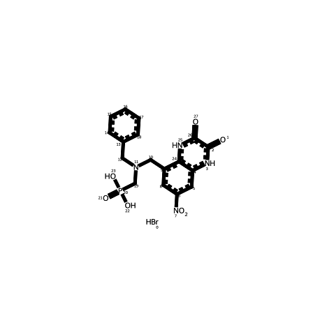 Br.O=c1[nH]c2cc([N+](=O)[O-])cc(CN(Cc3ccccc3)CP(=O)(O)O)c2[nH]c1=O